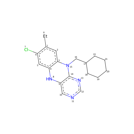 CCc1cc2c(cc1Cl)Nc1cncnc1N2CC1CCCCC1